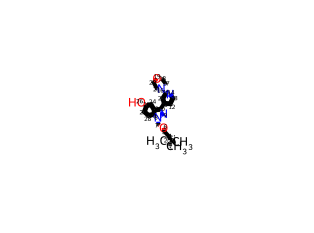 C[Si](C)(C)CCOCn1nc(-c2ccnc(N3CCOCC3)c2)c2cc(O)ccc21